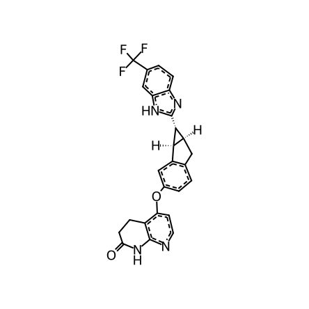 O=C1CCc2c(Oc3ccc4c(c3)[C@@H]3[C@H](C4)[C@H]3c3nc4ccc(C(F)(F)F)cc4[nH]3)ccnc2N1